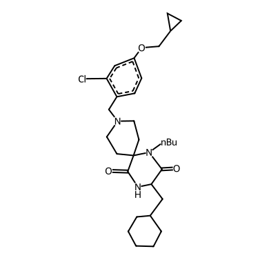 CCCCN1C(=O)C(CC2CCCCC2)NC(=O)C12CCN(Cc1ccc(OCC3CC3)cc1Cl)CC2